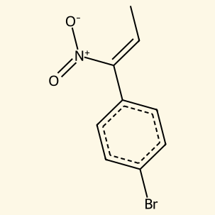 CC=C(c1ccc(Br)cc1)[N+](=O)[O-]